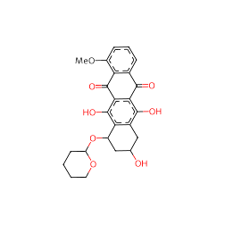 COc1cccc2c1C(=O)c1c(O)c3c(c(O)c1C2=O)CC(O)CC3OC1CCCCO1